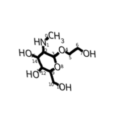 CNC1C(OCCO)OC(CO)C(O)C1O